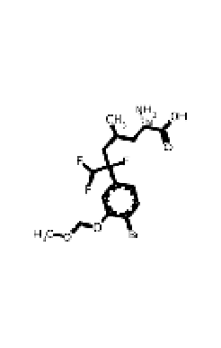 COCOc1cc(C(F)(CC(C)C[C@H](N)C(=O)O)C(F)F)ccc1Br